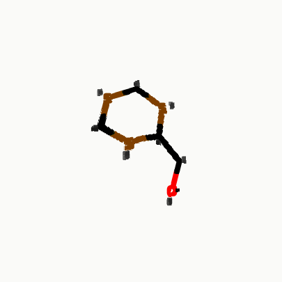 [O]CC1SCSCS1